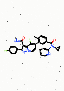 CNC(=O)c1c(-c2ccc(F)cc2)nn2ccc(-c3cc(C(=O)N(c4ccccn4)C4CC4)ccc3C)c(F)c12